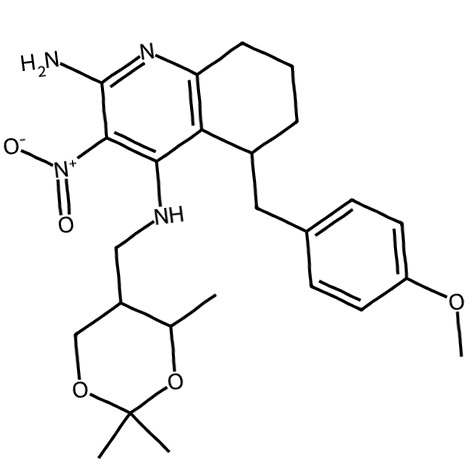 COc1ccc(CC2CCCc3nc(N)c([N+](=O)[O-])c(NCC4COC(C)(C)OC4C)c32)cc1